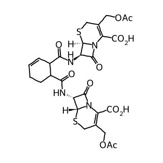 CC(=O)OCC1=C(C(=O)O)N2C(=O)[C@@H](NC(=O)C3C=CCCC3C(=O)N[C@@H]3C(=O)N4C(C(=O)O)=C(COC(C)=O)CS[C@H]34)[C@H]2SC1